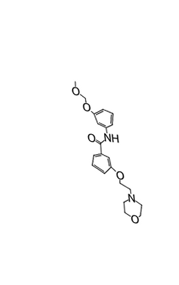 COCOc1cccc(NC(=O)c2cccc(OCCN3CCOCC3)c2)c1